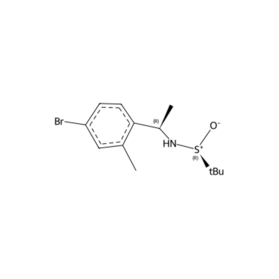 Cc1cc(Br)ccc1[C@@H](C)N[S@@+]([O-])C(C)(C)C